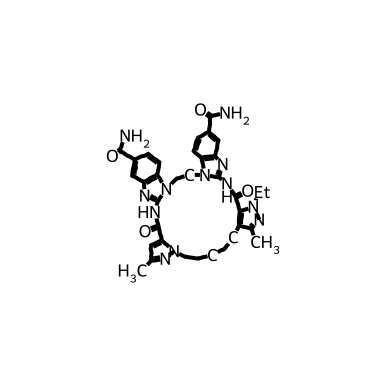 CCn1nc(C)c2c1C(=O)Nc1nc3cc(C(N)=O)ccc3n1CCn1c(nc3cc(C(N)=O)ccc31)NC(=O)c1cc(C)nn1CCCCC2